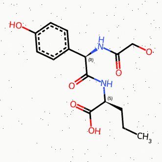 CCC[C@H](NC(=O)[C@H](NC(=O)C[O])c1ccc(O)cc1)C(=O)O